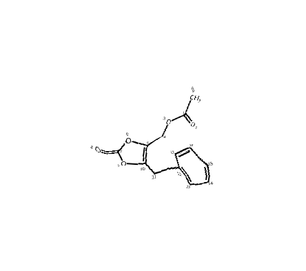 CC(=O)OCc1oc(=O)oc1Cc1ccccc1